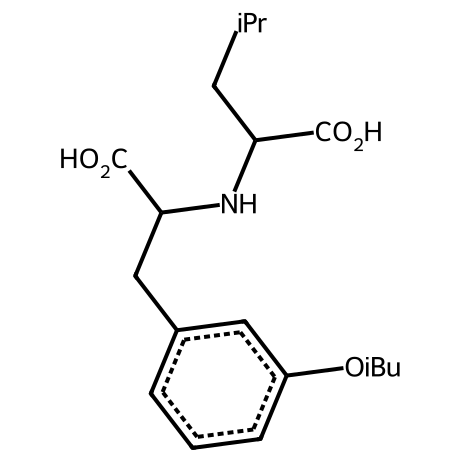 CC(C)COc1cccc(CC(NC(CC(C)C)C(=O)O)C(=O)O)c1